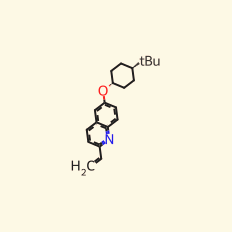 C=Cc1ccc2cc(O[C@H]3CC[C@H](C(C)(C)C)CC3)ccc2n1